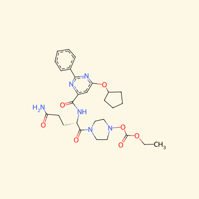 CCOC(=O)ON1CCN(C(=O)[C@H](CCC(N)=O)NC(=O)c2cc(OC3CCCC3)nc(-c3ccccc3)n2)CC1